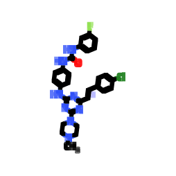 CN1CCN(c2nc(/C=C/c3ccc(Cl)cc3)nc(Nc3ccc(NC(=O)Nc4cccc(F)c4)cc3)n2)CC1